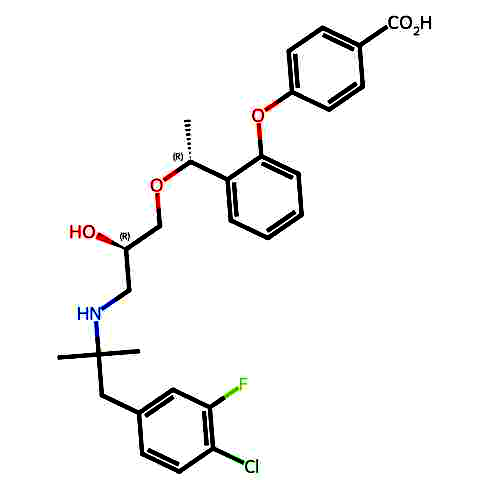 C[C@@H](OC[C@H](O)CNC(C)(C)Cc1ccc(Cl)c(F)c1)c1ccccc1Oc1ccc(C(=O)O)cc1